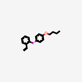 C=Cc1ccccc1[I+]c1ccc(OCCCC)cc1